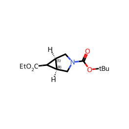 CCOC(=O)C1[C@H]2CN(C(=O)OC(C)(C)C)C[C@@H]12